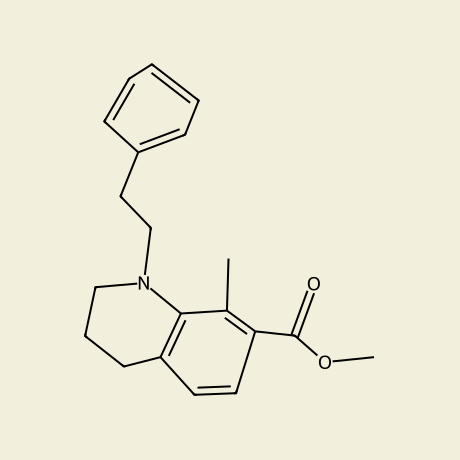 COC(=O)c1ccc2c(c1C)N(CCc1ccccc1)CCC2